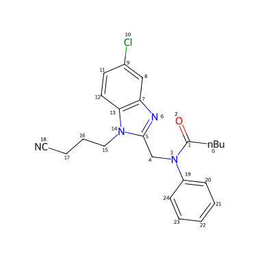 CCCCC(=O)N(Cc1nc2cc(Cl)ccc2n1CCCC#N)c1ccccc1